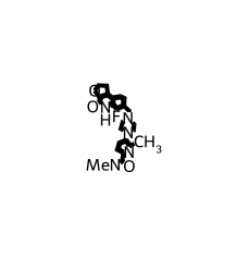 CNC(=O)c1ccc(N2CCN(Cc3ccc4c5c(c(=O)[nH]c4c3F)OCC5)CC2)c(C)n1